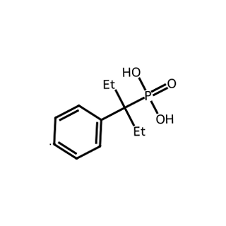 CCC(CC)(c1cc[c]cc1)P(=O)(O)O